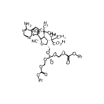 CC(C)OC(=O)OCOP(=O)(OCOC(=O)OC(C)C)OC[C@@H]1O[C@@](C#N)(c2ccc3c(N)ncnn23)[C@@H](C(C)(C)C(=O)O)[C@@H]1C(C)(C)C(=O)O